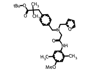 COc1cc(C)c(NC(=O)CN(Cc2ccc(CC(C)(C)C(=O)OC(C)(C)C)cc2)Cc2ccco2)cc1C